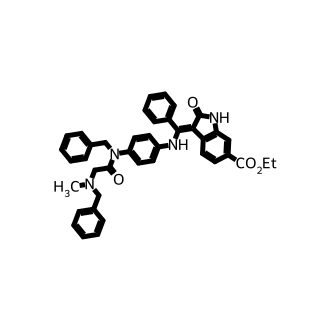 CCOC(=O)c1ccc2c(c1)NC(=O)C2=C(Nc1ccc(N(Cc2ccccc2)C(=O)CN(C)Cc2ccccc2)cc1)c1ccccc1